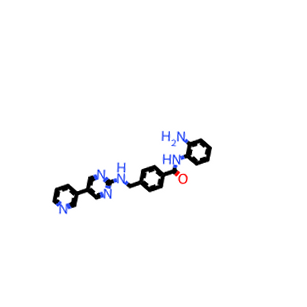 Nc1ccccc1NC(=O)c1ccc(CNc2ncc(-c3cccnc3)cn2)cc1